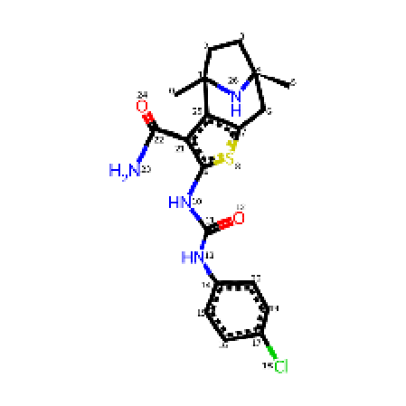 CC12CC[C@](C)(Cc3sc(NC(=O)Nc4ccc(Cl)cc4)c(C(N)=O)c31)N2